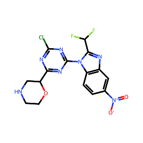 O=[N+]([O-])c1ccc2c(c1)nc(C(F)F)n2-c1nc(Cl)nc(C2CNCCO2)n1